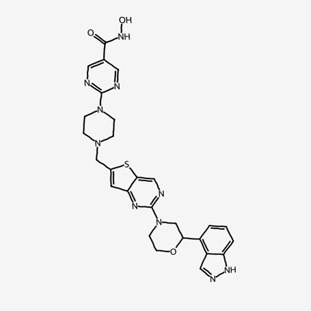 O=C(NO)c1cnc(N2CCN(Cc3cc4nc(N5CCOC(c6cccc7[nH]ncc67)C5)ncc4s3)CC2)nc1